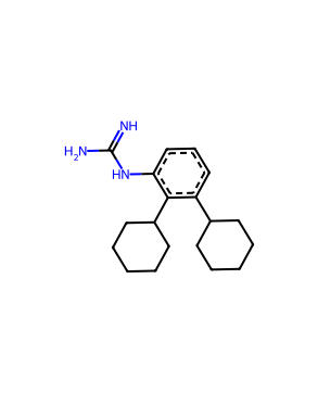 N=C(N)Nc1cccc(C2CCCCC2)c1C1CCCCC1